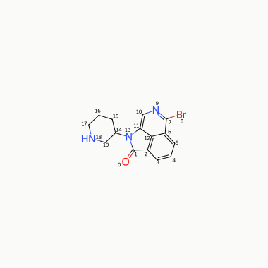 O=C1c2cccc3c(Br)ncc(c23)N1C1CCCNC1